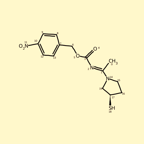 C/C(=N\C(=O)OCc1ccc([N+](=O)[O-])cc1)N1CC[C@@H](S)C1